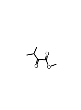 COC(=O)C(=O)C(C)C